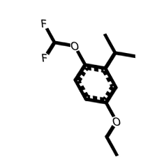 CCOc1ccc(OC(F)F)c([C](C)C)c1